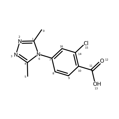 Cc1nnc(C)n1-c1ccc(C(=O)O)c(Cl)c1